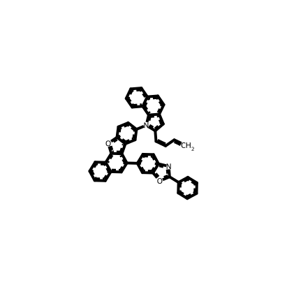 C=C/C=C\c1cc2ccc3ccccc3c2n1-c1ccc2oc3c4ccccc4cc(-c4ccc5nc(-c6ccccc6)oc5c4)c3c2c1